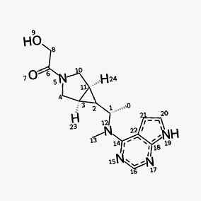 C[C@@H](C1[C@H]2CN(C(=O)CO)C[C@@H]12)N(C)c1ncnc2[nH]ccc12